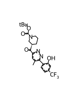 Cc1cc(C(=O)[C@@H]2CCCN(C(=O)OC(C)(C)C)C2)nnc1-c1ccc(C(F)(F)F)cc1O